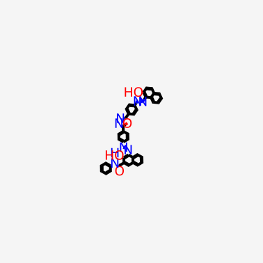 O=C(Nc1ccccc1)c1cc2ccccc2c(N=Nc2ccc(-c3nnc(-c4ccc(N=Nc5c(O)ccc6ccccc56)cc4)o3)cc2)c1O